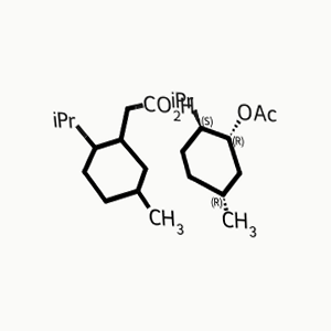 CC(=O)O[C@@H]1C[C@H](C)CC[C@H]1C(C)C.CC1CCC(C(C)C)C(CC(=O)O)C1